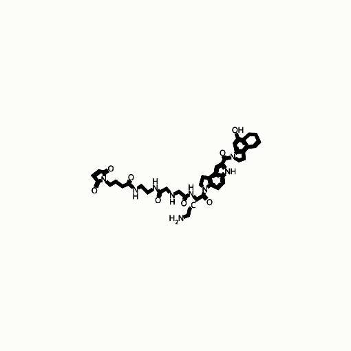 NCCC[C@H](NC(=O)CNCC(=O)NCCNC(=O)CCCN1C(=O)C=CC1=O)C(=O)N1CCc2c1ccc1[nH]c(C(=O)N3CCc4c3cc(O)c3c4C=CCC3)cc21